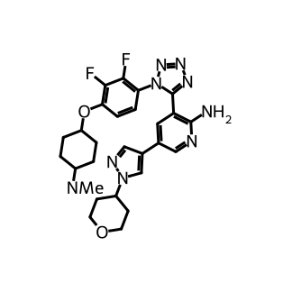 CNC1CCC(Oc2ccc(-n3nnnc3-c3cc(-c4cnn(C5CCOCC5)c4)cnc3N)c(F)c2F)CC1